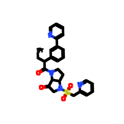 CC(C)CC(C(=O)N1CCC2C1C(=O)CN2S(=O)(=O)Cc1ccccn1)c1cccc(-c2ccccn2)c1